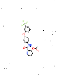 CC(=O)Oc1cccnc1C(=O)Nc1ccc(Oc2cccc(C(F)(F)F)c2)cc1